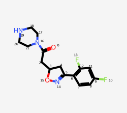 O=C(CC1CC(c2ccc(F)cc2F)=NO1)N1CCNCC1